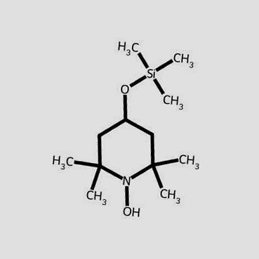 CC1(C)CC(O[Si](C)(C)C)CC(C)(C)N1O